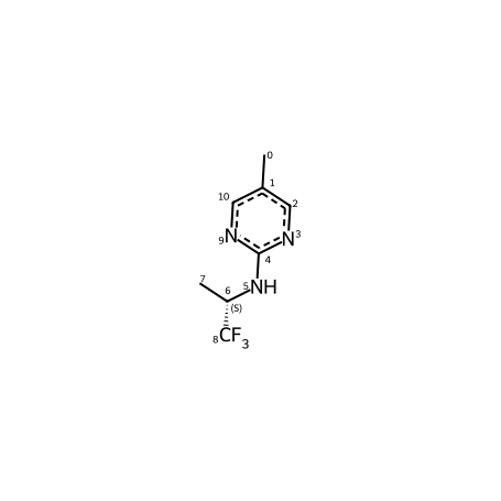 Cc1cnc(N[C@@H](C)C(F)(F)F)nc1